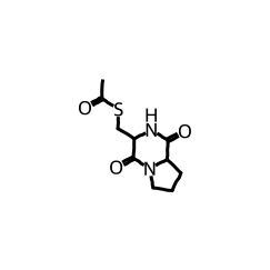 CC(=O)SCC1NC(=O)C2CCCN2C1=O